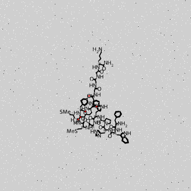 CSCCC[C@@H](NC(=O)[C@@H](CCSC)NC(=O)[C@@H](C)NC(=O)[C@@H](Cc1c[nH]c2ccccc12)NC(=O)[C@H]1CCCN1C(=O)[C@@H](Cc1c[nH]cn1)NC(=O)[C@@H](Cc1c[nH]c2ccccc12)NC(=O)[C@H](N)Cc1ccccc1)C(=O)N[C@H](Cc1ccc(O)cc1)C(=O)N[C@H](CCCCCN)C(=O)NCC(=O)NCC(=O)NCC(=O)NCC(=O)N[C@H](CCCCN)C(N)=O